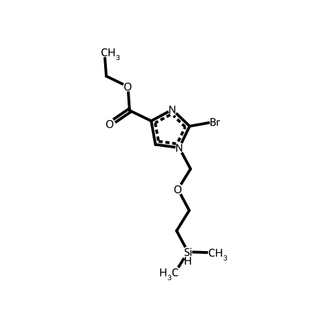 CCOC(=O)c1cn(COCC[SiH](C)C)c(Br)n1